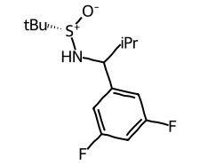 CC(C)C(N[S@@+]([O-])C(C)(C)C)c1cc(F)cc(F)c1